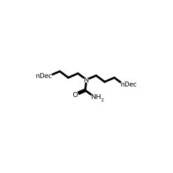 CCCCCCCCCCCCCN(CCCCCCCCCCCCC)C(N)=O